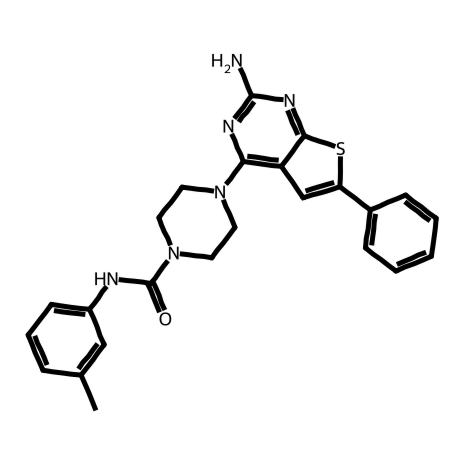 Cc1cccc(NC(=O)N2CCN(c3nc(N)nc4sc(-c5ccccc5)cc34)CC2)c1